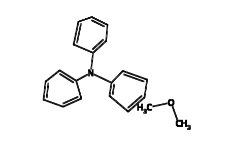 COC.c1ccc(N(c2ccccc2)c2ccccc2)cc1